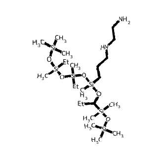 CCC(O[Si](C)(CCCNCCN)O[Si](C)(CC)O[Si](C)(CC)O[Si](C)(C)C)[Si](C)(C)O[Si](C)(C)C